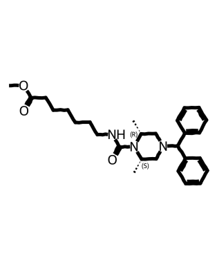 COC(=O)CCCCCCNC(=O)N1[C@H](C)CN(C(c2ccccc2)c2ccccc2)C[C@@H]1C